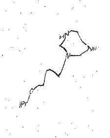 CC(C)OCCCN1CNCNC1